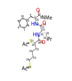 CNC(=O)[C@H](Cc1ccccc1)NC(=O)[C@H](CC(C)C)NC(=O)C(CCCCSC(C)=O)SC(C)=O